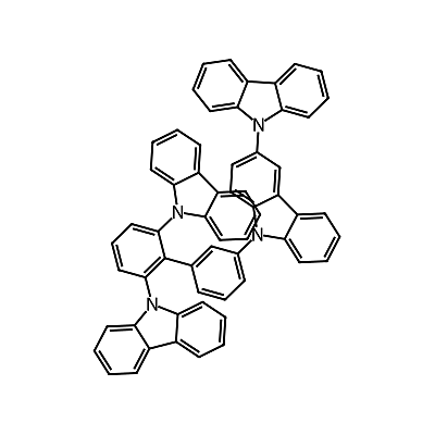 c1cc(-c2c(-n3c4ccccc4c4ccccc43)cccc2-n2c3ccccc3c3ccccc32)cc(-n2c3ccccc3c3cc(-n4c5ccccc5c5ccccc54)ccc32)c1